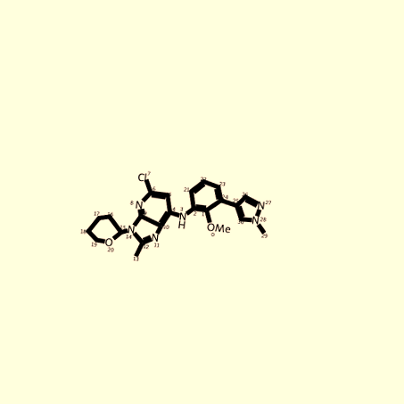 COc1c(Nc2cc(Cl)nc3c2nc(C)n3C2CCCCO2)cccc1-c1cnn(C)c1